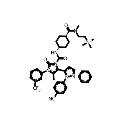 Cc1c(-c2ccnn2-c2ccc(C#N)cc2)n(C(=O)N[C@H]2CC[C@H](C(=O)N(C)CC[N+](C)(C)C)CC2)c(=O)n1-c1cccc(C(F)(F)F)c1.c1ccccc1